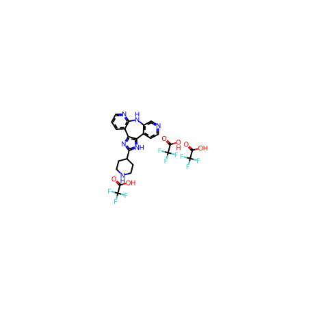 O=C(O)C(F)(F)F.O=C(O)C(F)(F)F.O=C(O)C(F)(F)F.c1cnc2c(c1)-c1nc(C3CCNCC3)[nH]c1-c1ccncc1N2